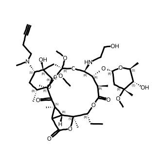 C#CCCN(C)[C@H]1C[C@@H](C)O[C@@H](OC)[C@@]1(O)C[C@@]1(OC)C[C@@H](C)C(=O)[C@]2(C)C3C(=O)O[C@](C)([C@@H](CC)OC(=O)[C@H](C)[C@@H](O[C@H]4C[C@@](C)(OC)[C@@H](O)[C@H](C)O4)[C@H](NCCO)C1)[C@H]32